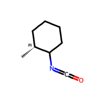 C[C@@H]1CCCCC1N=C=O